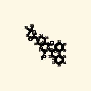 CSc1nc2c(c(=O)n1C(Cc1ccccc1)c1ccccc1)CCN(C(=O)OC(C)(C)C)C2